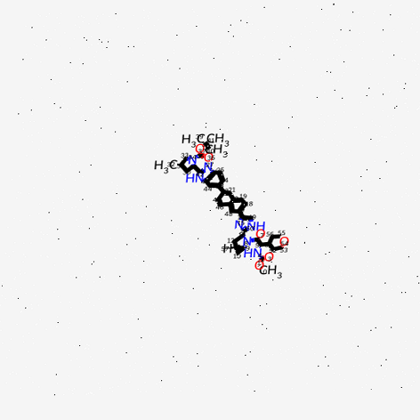 COC(=O)N[C@H](C(=O)N1C2C[C@@H]2C[C@H]1c1nc(-c2ccc3cc(-c4ccc5nc(C6C[C@@H](C)CN6C(=O)OC(C)(C)C)[nH]c5c4)ccc3c2)c[nH]1)C1CCOCC1